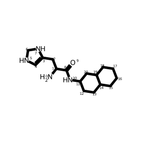 NC(CC1=CNCN1)C(=O)NC1CCC2CCCCC2C1